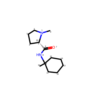 CN1CCC[C@H]1C(=O)NC1(C)CCCCC1